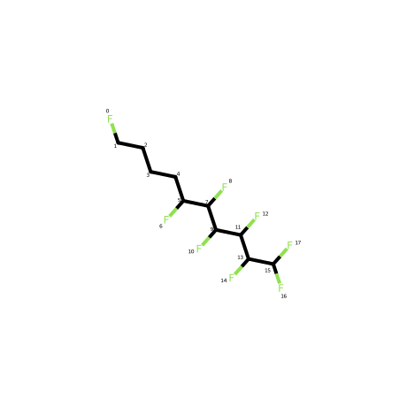 FCCCCC(F)C(F)C(F)C(F)C(F)C(F)F